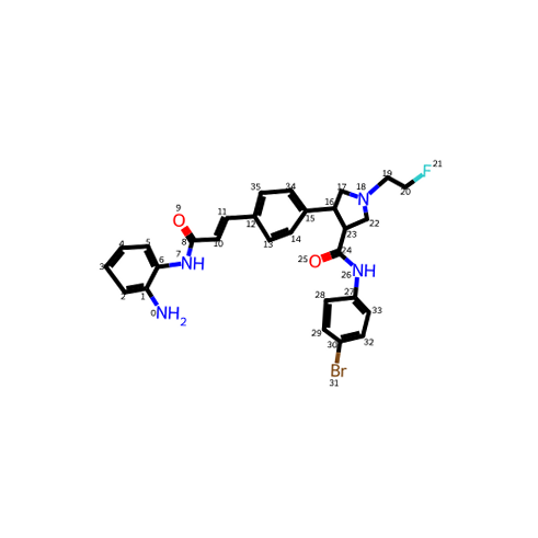 Nc1ccccc1NC(=O)/C=C/c1ccc(C2CN(CCF)CC2C(=O)Nc2ccc(Br)cc2)cc1